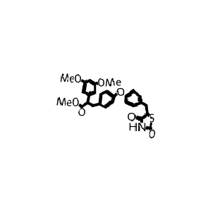 COC(=O)C(Cc1ccc(Oc2ccc(CC3SC(=O)NC3=O)cc2)cc1)c1cc(OC)cc(OC)c1